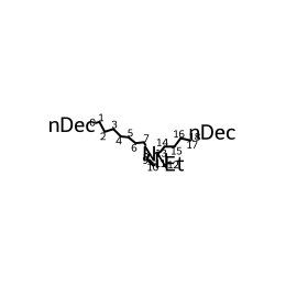 CCCCCCCCCCCCCCCCCN1C=CN(CC)C1CCCCCCCCCCCCCC